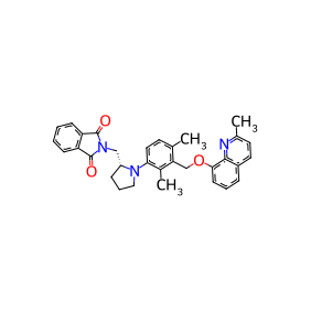 Cc1ccc2cccc(OCc3c(C)ccc(N4CCC[C@@H]4CN4C(=O)c5ccccc5C4=O)c3C)c2n1